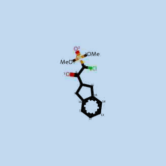 COP(=O)(OC)C(Cl)C(=O)C1Cc2ccccc2C1